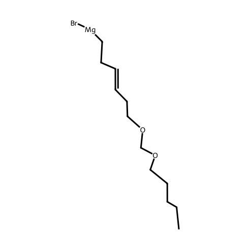 CCCCCOCOCC/C=C/C[CH2][Mg][Br]